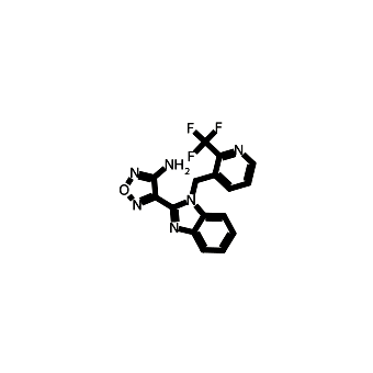 Nc1nonc1-c1nc2ccccc2n1Cc1cccnc1C(F)(F)F